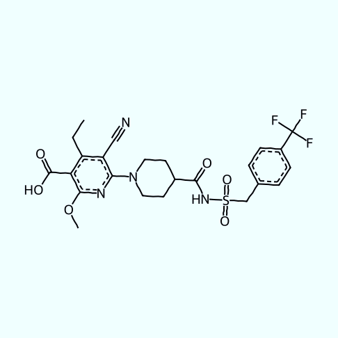 CCc1c(C#N)c(N2CCC(C(=O)NS(=O)(=O)Cc3ccc(C(F)(F)F)cc3)CC2)nc(OC)c1C(=O)O